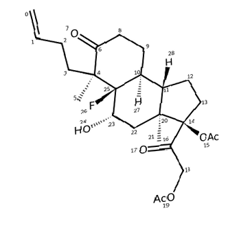 C=CCC[C@@]1(C)C(=O)CC[C@H]2[C@@H]3CC[C@](OC(C)=O)(C(=O)COC(C)=O)[C@@]3(C)C[C@H](O)[C@@]21F